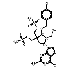 CS(=O)(=O)OCC1(COS(C)(=O)=O)O[C@@H](n2cnc3c(Cl)nc(N)nc32)[C@H](CO)[C@@H]1OCc1ccc(Cl)cc1